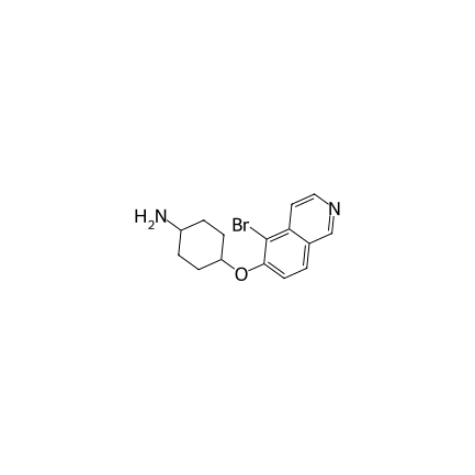 NC1CCC(Oc2ccc3cnccc3c2Br)CC1